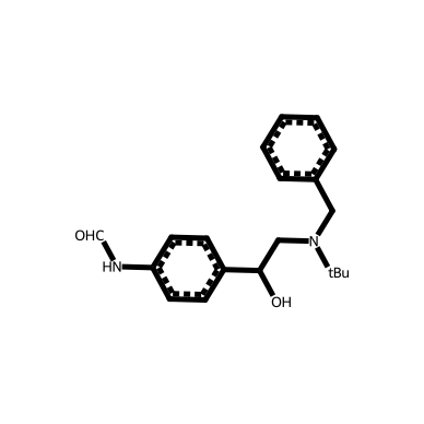 CC(C)(C)N(Cc1ccccc1)CC(O)c1ccc(NC=O)cc1